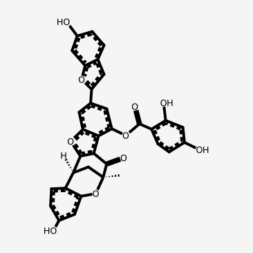 C[C@@]12C[C@@H](c3ccc(O)cc3O1)c1oc3cc(-c4cc5ccc(O)cc5o4)cc(OC(=O)c4ccc(O)cc4O)c3c1C2=O